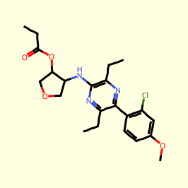 CCC(=O)OC1COCC1Nc1nc(CC)c(-c2ccc(OC)cc2Cl)nc1CC